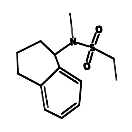 CCS(=O)(=O)N(C)C1CCCc2ccccc21